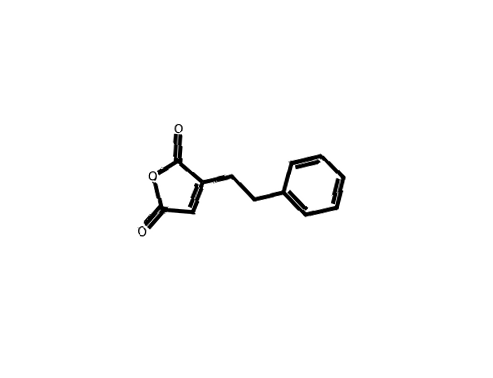 O=C1C=C(CCc2ccccc2)C(=O)O1